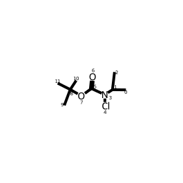 CC(C)N(Cl)C(=O)OC(C)(C)C